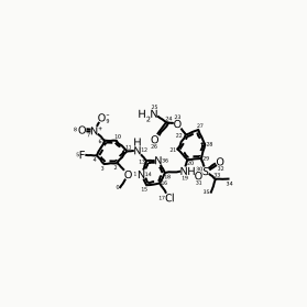 COc1cc(F)c([N+](=O)[O-])cc1Nc1ncc(Cl)c(Nc2cc(OC(N)=O)ccc2S(=O)(=O)C(C)C)n1